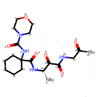 CCCC[C@H](NC(=O)C1(NC(=O)N2CCOCC2)CCCCC1)C(=O)C(=O)NCC(=O)C(C)(C)C